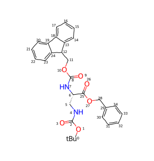 CC(C)(C)OC(=O)NC[C@H](NC(=O)OCC1c2ccccc2-c2ccccc21)C(=O)OCc1ccccc1